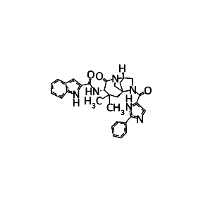 CC1(C)C[C@@]23C[C@@H](CN2C(=O)c2cnc(-c4ccccc4)[nH]2)N(C3)C(=O)[C@H]1NC(=O)c1cc2ccccc2[nH]1